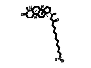 CC[S+]([O-])CCCCCCCCCCC(=O)OC(C)[C@H]1CC[C@H]2[C@@H]3CC[C@H]4N(C)C(=O)CC[C@]4(C)[C@H]3CC[C@]12C